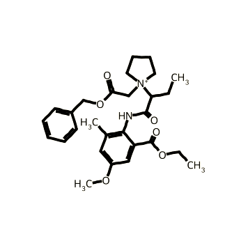 CCOC(=O)c1cc(OC)cc(C)c1NC(=O)C(CC)[N+]1(CC(=O)OCc2ccccc2)CCCC1